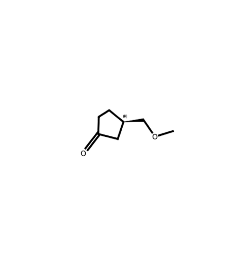 COC[C@@H]1CCC(=O)C1